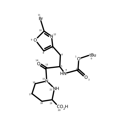 CC(C)(C)OC(=O)NC(Cc1coc(Br)n1)C(=O)N1CCCC(C(=O)O)N1